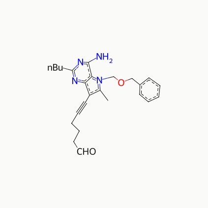 CCCCc1nc(N)c2c(n1)c(C#CCCCC=O)c(C)n2COCc1ccccc1